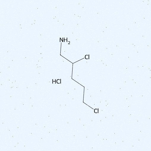 Cl.NCC(Cl)CCCCl